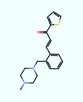 CN1CCN(Cc2ccccc2/C=C/C(=O)c2cccs2)CC1